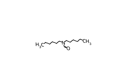 CCCCCCN(C=O)CCCCCC